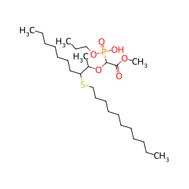 CCCCCCCCCCCSC(CCCCCCC)C(C)OC(C(=O)OC)P(=O)(O)OCCC